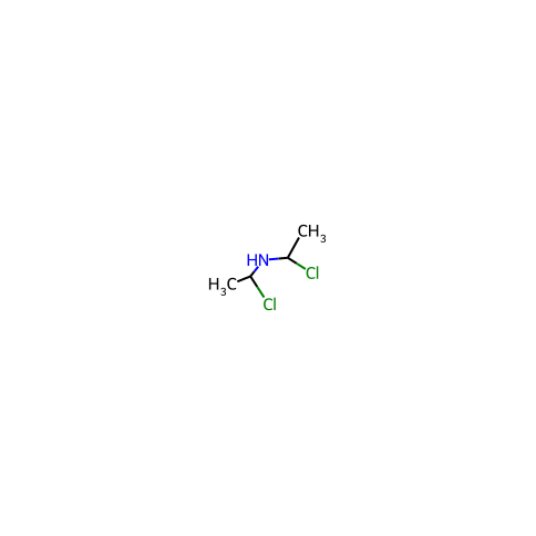 CC(Cl)NC(C)Cl